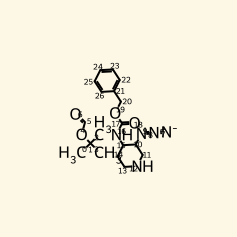 CC(C)(C)OC=O.[N-]=[N+]=NC1CNCCC1NC(=O)OCc1ccccc1